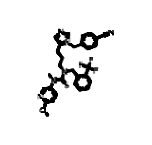 COc1ccc(N(C)C(=S)N(CCCc2cncn2Cc2ccc(C#N)cc2)Cc2ccccc2C(F)(F)F)cn1